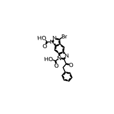 O=C(Cc1ccccc1)c1nc2cc3c(Br)nn(C(=O)O)c3cc2n1C(=O)O